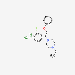 CCN1CCN(CCOc2ccccc2)CC1.Cl.Cl.Fc1ccccc1